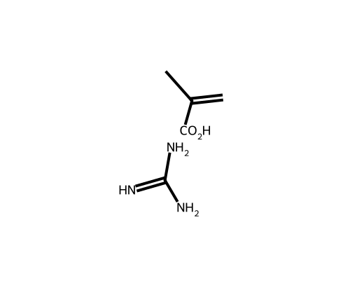 C=C(C)C(=O)O.N=C(N)N